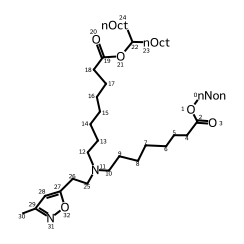 CCCCCCCCCOC(=O)CCCCCCCN(CCCCCCCC(=O)OC(CCCCCCCC)CCCCCCCC)CCc1cc(C)no1